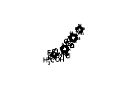 C[C@@](O)(C(=O)Nc1ccc(S(=O)(=O)c2ccc(N3CCCC3)cc2)cc1Cl)C(F)(F)F